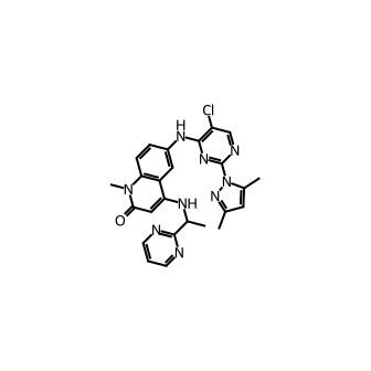 Cc1cc(C)n(-c2ncc(Cl)c(Nc3ccc4c(c3)c(NC(C)c3ncccn3)cc(=O)n4C)n2)n1